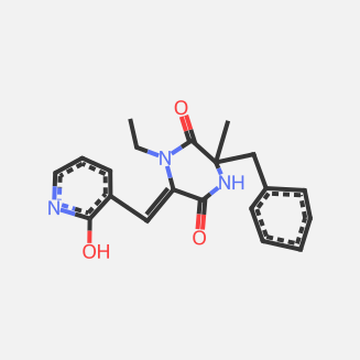 CCN1C(=O)C(C)(Cc2ccccc2)NC(=O)/C1=C/c1cccnc1O